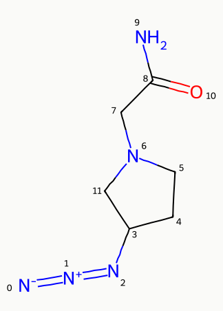 [N-]=[N+]=NC1CCN(CC(N)=O)C1